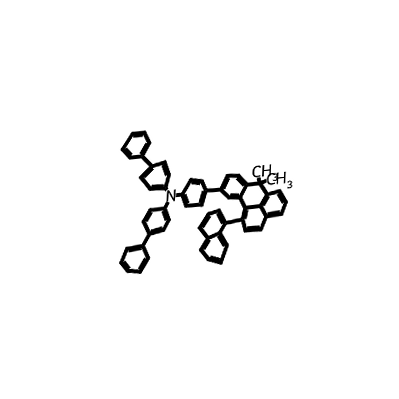 CC1(C)c2ccc(-c3ccc(N(c4ccc(-c5ccccc5)cc4)c4ccc(-c5ccccc5)cc4)cc3)cc2-c2c(-c3cccc4ccccc34)ccc3cccc1c23